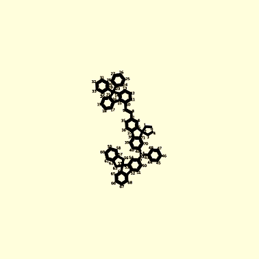 CCC1(CC)c2cc(/C=C/c3cccc4c3-c3ccccc3C4(c3ccccc3)c3ccccc3)ccc2-c2ccc(N(c3ccccc3)c3ccc4c(c3)C3(Cc5ccccc5C3)c3ccccc3-4)cc21